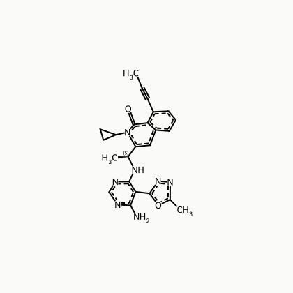 CC#Cc1cccc2cc([C@H](C)Nc3ncnc(N)c3-c3nnc(C)o3)n(C3CC3)c(=O)c12